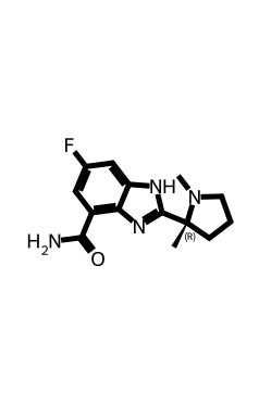 CN1CCC[C@]1(C)c1nc2c(C(N)=O)cc(F)cc2[nH]1